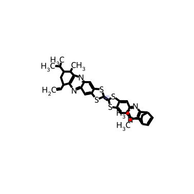 C=CC1CC(C(C)C)C(C)c2nc3cc4c(cc3nc21)S/C(=C1/Sc2cc3nc5c(nc3cc2S1)C1C=CC5CC1C(C)C)S4